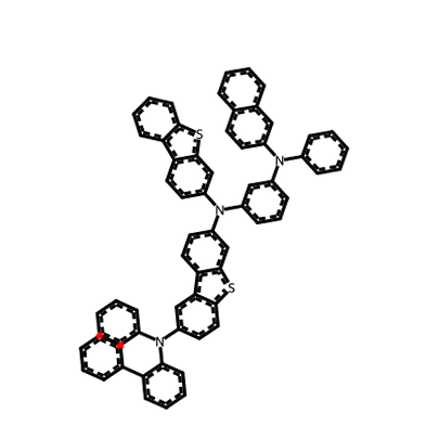 c1ccc(-c2ccccc2N(c2ccccc2)c2ccc3sc4cc(N(c5cccc(N(c6ccccc6)c6ccc7ccccc7c6)c5)c5ccc6c(c5)sc5ccccc56)ccc4c3c2)cc1